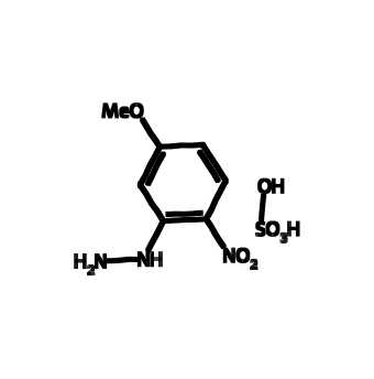 COc1ccc([N+](=O)[O-])c(NN)c1.O=S(=O)(O)O